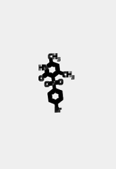 Cc1cc(C)c(S(=O)(=O)c2ccc(Br)cc2)c(=O)[nH]1